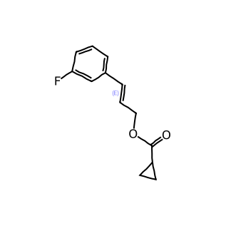 O=C(OC/C=C/c1cccc(F)c1)C1CC1